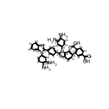 Nc1ccc(-n2c(-c3ccc(-c4nc5ccc(-c6cc(C(=O)O)ccc6C(=O)O)cc5n4-c4ccc(N)c(N)c4)cc3)nc3ccccc32)cc1N